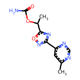 Cc1cc(-c2noc(C(C)OC(N)=O)n2)ncn1